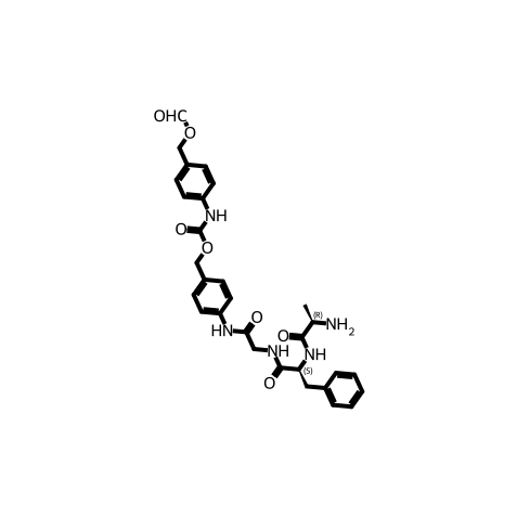 C[C@@H](N)C(=O)N[C@@H](Cc1ccccc1)C(=O)NCC(=O)Nc1ccc(COC(=O)Nc2ccc(COC=O)cc2)cc1